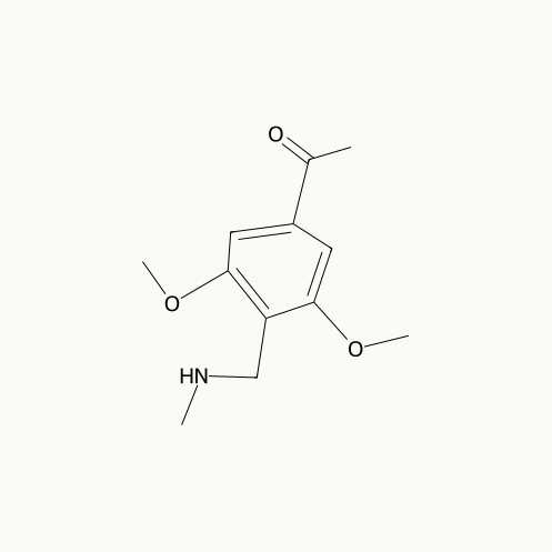 CNCc1c(OC)cc(C(C)=O)cc1OC